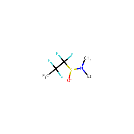 CCN(C)[S+]([O-])C(F)(F)C(F)(F)C(F)(F)F